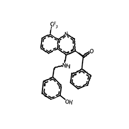 O=C(c1ccccc1)c1cnc2c(C(F)(F)F)cccc2c1NCc1cccc(O)c1